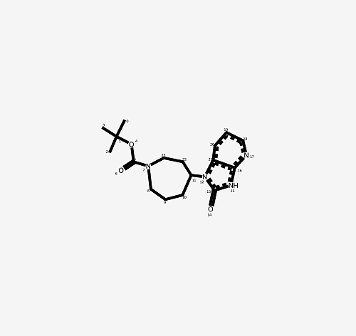 CC(C)(C)OC(=O)N1CCCC(n2c(=O)[nH]c3ncccc32)CC1